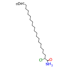 CCCCCCCCCCCCCCCCCCCCCCCCCCCCCC(Cl)C(N)=O